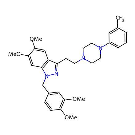 COc1ccc(Cn2nc(CCN3CCN(c4cccc(C(F)(F)F)c4)CC3)c3cc(OC)c(OC)cc32)cc1OC